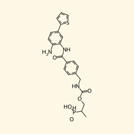 CC(COC(=O)NCc1ccc(C(=O)Nc2cc(-c3cccs3)ccc2N)cc1)[PH](=O)O